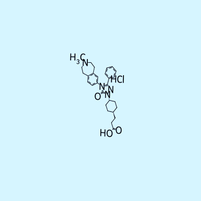 CN1CCc2ccc(-n3c(-c4ccccc4)nn([C@H]4CC[C@H](CCC(=O)O)CC4)c3=O)cc2CC1.Cl